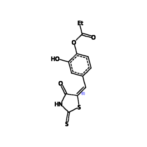 CCC(=O)Oc1ccc(/C=C2/SC(=S)NC2=O)cc1O